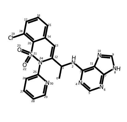 CC(Nc1ncnc2[nH]cnc12)C1=Cc2cccc(Cl)c2S(=O)(=O)N1c1ccccn1